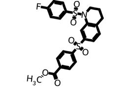 COC(=O)c1ccc(S(=O)(=O)c2ccc3c(c2)N(S(=O)(=O)c2ccc(F)cc2)CCC3)cc1